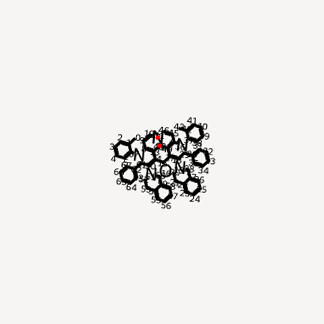 Cc1ccccc1N1c2ccncc2C(C(=O)C2=C(N3CCc4ccccc4C3)C(c3ccccc3)N(c3ccccc3C)c3ccncc32)=C(N2CCc3ccccc3C2)C1c1ccccc1